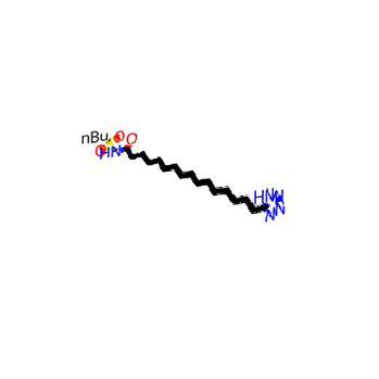 CCCCS(=O)(=O)NC(=O)CCCCCCCCCCCCCCCc1nnn[nH]1